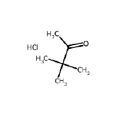 CC(=O)C(C)(C)C.Cl